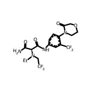 CCN(CC(F)(F)F)[C@@H](C(N)=O)C(=O)Nc1ccc(N2CCOCC2=O)c(C(F)(F)F)c1